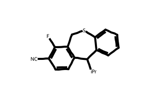 CC(C)C1c2ccccc2SCc2c1ccc(C#N)c2F